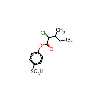 CC(CC(C)(C)C)C(Cl)C(=O)Oc1ccc(S(=O)(=O)O)cc1